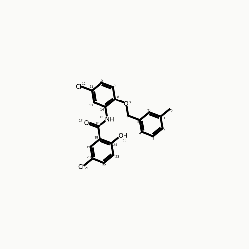 Cc1cccc(COc2ccc(Cl)cc2NC(=O)c2cc(Cl)ccc2O)c1